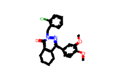 COc1ccc(C2=NN(Cc3ccccc3Cl)C(=O)C3CCCCC23)cc1OC